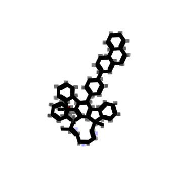 C\C1=C/C=C\C=C\C2(C)c3ccccc3-c3c(-c4ccc(-c5ccc6c(ccc7ccccc76)c5)cc4)c4c(c(c32)N1c1ccccc1)C(C)(C)c1ccccc1-4